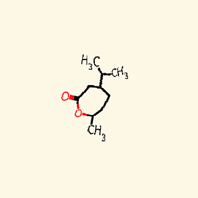 CC1CCC(C(C)C)CC(=O)O1